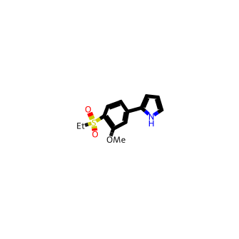 CCS(=O)(=O)c1ccc(-c2ccc[nH]2)cc1OC